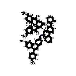 CC(C)(C)c1ccc(C(=Cc2ccc(/C=C3/Cc4c(ccc5c6ccccc6n(-c6cc7c(=O)c8cc(C(C)(C)C)ccc8n8c9ccc(C(C)(C)C)cc9c(=O)c(c6)c78)c45)C4=C3CCC=C4)cc2)c2ccc(C(C)(C)C)cc2)cc1